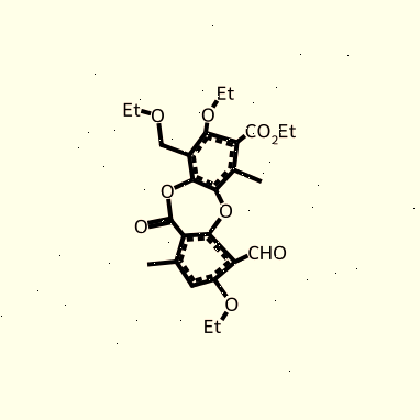 CCOCc1c2c(c(C)c(C(=O)OCC)c1OCC)Oc1c(C=O)c(OCC)cc(C)c1C(=O)O2